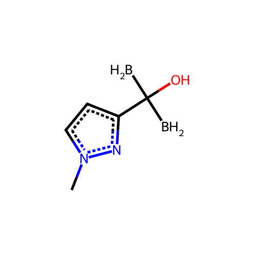 BC(B)(O)c1ccn(C)n1